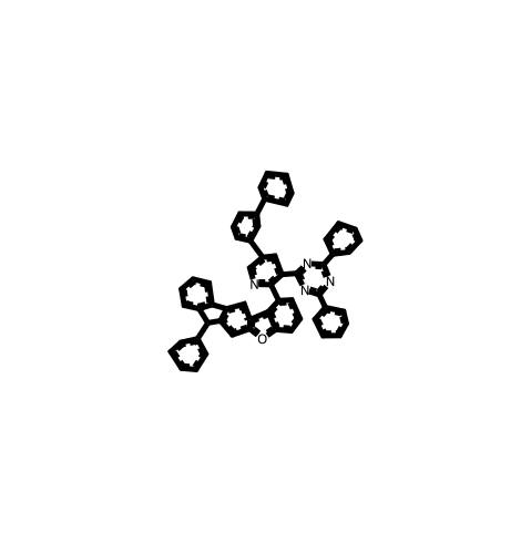 c1ccc(-c2cccc(-c3cnc(-c4cccc5oc6cc7c(cc6c45)-c4ccccc4C7c4ccccc4)c(-c4nc(-c5ccccc5)nc(-c5ccccc5)n4)c3)c2)cc1